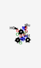 C#CCOc1cc(-n2nc(C(C)(C)C)oc2=O)c(Cl)cc1Cl.CCN(C(=O)n1nnn(-c2ccccc2Cl)c1=O)C1CCCCC1